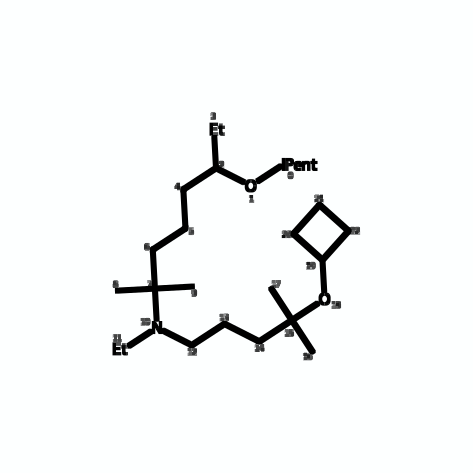 CCCC(C)OC(CC)CCCC(C)(C)N(CC)CCCC(C)(C)OC1CCC1